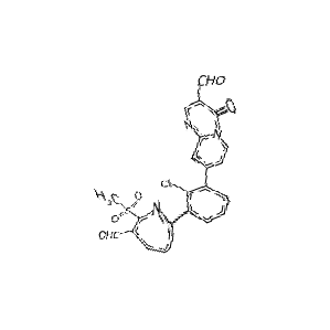 CS(=O)(=O)c1nc(-c2cccc(-c3ccn4c(=O)c(C=O)cnc4c3)c2Cl)ccc1C=O